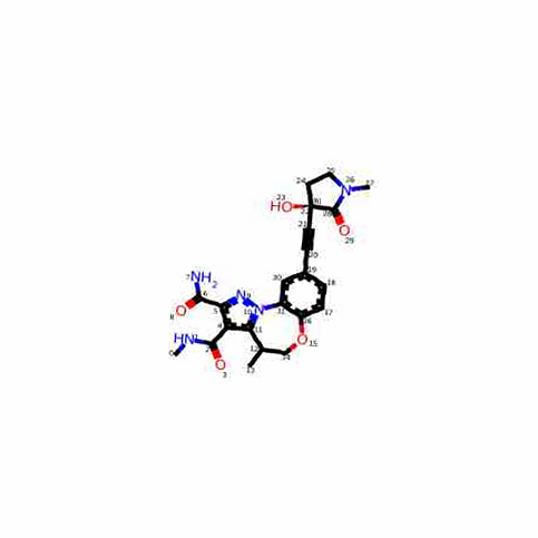 CNC(=O)c1c(C(N)=O)nn2c1C(C)COc1ccc(C#C[C@]3(O)CCN(C)C3=O)cc1-2